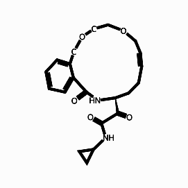 O=C(NC1CC1)C(=O)[C@@H]1CC/C=C\COCCOCc2ccccc2C(=O)N1